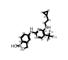 OB1OCc2cc(Nc3ncc(C(F)(F)F)c(NCCC4CC4)n3)ccc21